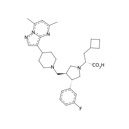 Cc1cc(C)n2ncc(C3CCN(C[C@H]4CN([C@H](CC5CCC5)C(=O)O)C[C@@H]4c4cccc(F)c4)CC3)c2n1